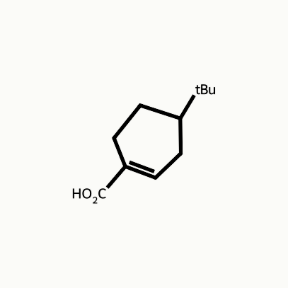 CC(C)(C)C1CC=C(C(=O)O)CC1